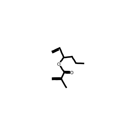 C=CC(CCC)OC(=O)C(=C)C